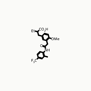 CCC(Cc1ccc(OC)c(CC(=O)Nc2ccc(C(F)(F)F)cc2C)c1)C(=O)O